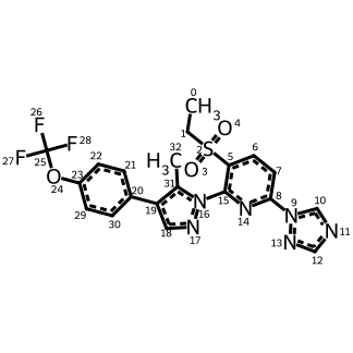 CCS(=O)(=O)c1ccc(-n2cncn2)nc1-n1ncc(-c2ccc(OC(F)(F)F)cc2)c1C